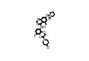 Cc1cc(N=S2(=O)CCCC2)cc2ncnc(Nc3ccc(F)cc3O[C@H](C)C(=O)N3CCC(=O)CC3)c12